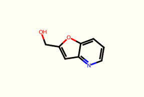 OCc1cc2ncccc2o1